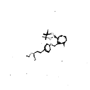 CCOC(=O)CCc1ccc(OCc2c(F)cccc2B2OC(C)(C)C(C)(C)O2)cc1